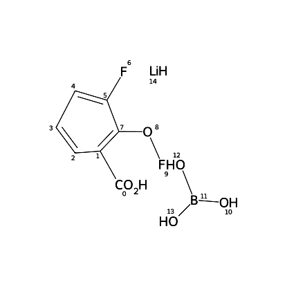 O=C(O)c1cccc(F)c1OF.OB(O)O.[LiH]